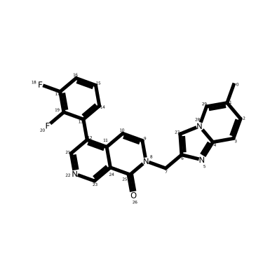 Cc1ccc2nc(Cn3ccc4c(-c5cccc(F)c5F)cncc4c3=O)cn2c1